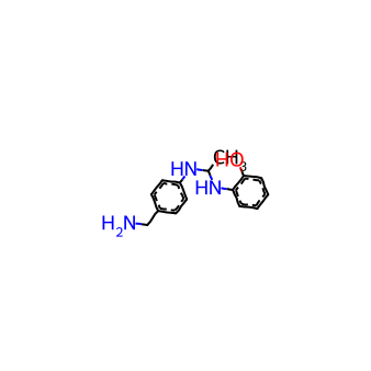 CC(Nc1ccc(CN)cc1)Nc1ccccc1O